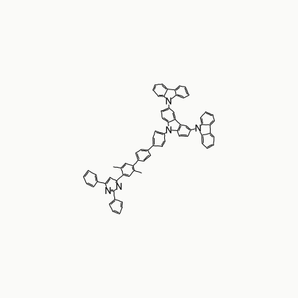 Cc1cc(-c2cc(-c3ccccc3)nc(-c3ccccc3)n2)c(C)cc1-c1ccc(-c2ccc(-n3c4ccc(-n5c6ccccc6c6ccccc65)cc4c4cc(-n5c6ccccc6c6ccccc65)ccc43)cc2)cc1